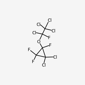 FC(Cl)(OC1(F)C(F)(F)C1(Cl)Cl)C(Cl)(Cl)Cl